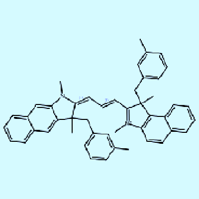 Cc1cccc(CC2(C)C(/C=C/C=C3/N(C)c4cc5ccccc5cc4C3(C)Cc3cccc(C)c3)=[N+](C)c3ccc4ccccc4c32)c1